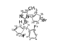 BCC(c1ccccc1F)c1ccccc1F.Cc1cncn1-c1ccc(Br)cc1